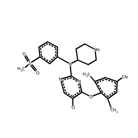 Cc1cc(C#N)cc(C)c1Oc1nc(N(c2cccc(S(C)(=O)=O)c2)C2CCNCC2)ncc1Cl